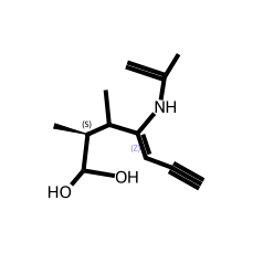 C#C/C=C(\NC(=C)C)C(C)[C@H](C)C(O)O